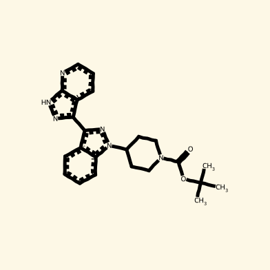 CC(C)(C)OC(=O)N1CCC(n2nc(-c3n[nH]c4ncccc34)c3ccccc32)CC1